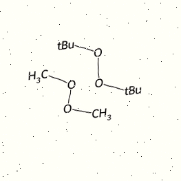 CC(C)(C)OOC(C)(C)C.COOC